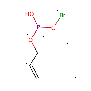 C=CCOP(O)OBr